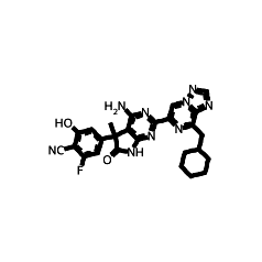 CC1(c2cc(O)c(C#N)c(F)c2)C(=O)Nc2nc(-c3cn4ncnc4c(CC4CCCCC4)n3)nc(N)c21